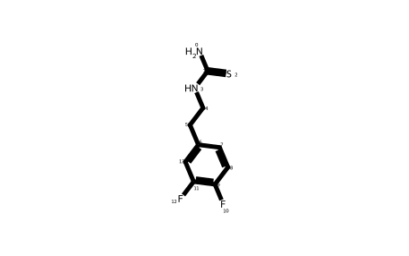 NC(=S)NCCc1ccc(F)c(F)c1